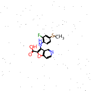 CSc1ccc(Nc2c(C(=O)O)oc3ccncc23)c(F)c1